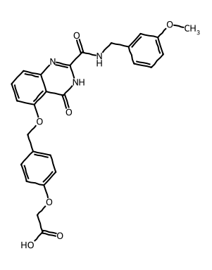 COc1cccc(CNC(=O)c2nc3cccc(OCc4ccc(OCC(=O)O)cc4)c3c(=O)[nH]2)c1